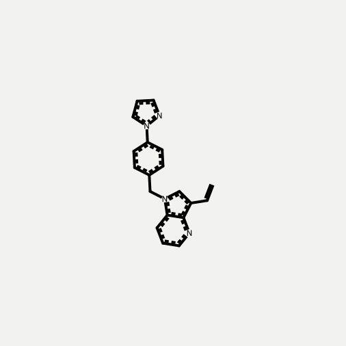 C=Cc1cn(Cc2ccc(-n3cccn3)cc2)c2cccnc12